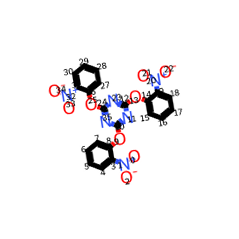 O=[N+]([O-])c1ccccc1Oc1nc(Oc2ccccc2[N+](=O)[O-])nc(Oc2ccccc2[N+](=O)[O-])n1